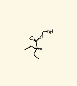 CCC(C)(CC)C(=O)OCO